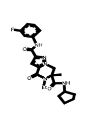 CCN1C(=O)c2cc(C(=O)Nc3cccc(F)c3)nn2CC1(C)C(=O)NC1CCCC1